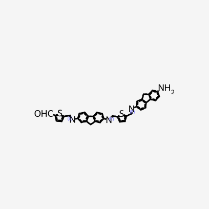 Nc1ccc2c(c1)Cc1cc(/N=C/c3ccc(/C=N/c4ccc5c(c4)Cc4cc(/N=C/c6ccc(C=O)s6)ccc4-5)s3)ccc1-2